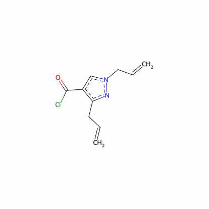 C=CCc1nn(CC=C)cc1C(=O)Cl